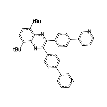 CC(C)(C)c1ccc(C(C)(C)C)c2nc(-c3ccc(-c4cccnc4)cc3)c(-c3ccc(-c4cccnc4)cc3)nc12